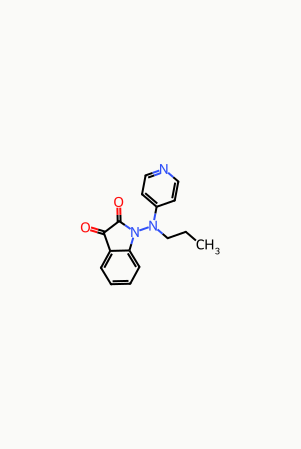 CCCN(c1ccncc1)N1C(=O)C(=O)c2ccccc21